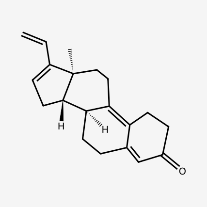 C=CC1=CC[C@H]2[C@@H]3CCC4=CC(=O)CCC4=C3CC[C@]12C